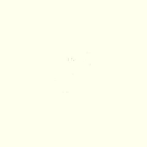 CC(O)COCC(N)C(=O)O